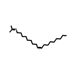 CCCCCCCC/C=C\CCCCCCCCN=C(C)C